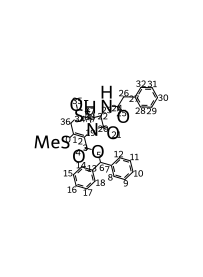 CSC1=C(C(=O)OC(c2ccccc2)c2ccccc2)N2C(=O)C(NC(=O)Cc3ccccc3)[C@H]2[S+]([O-])C1